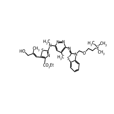 CCOC(=O)c1nc(N(C)c2cc(C)c(/N=c3\sc4ccccc4n3COCC[Si](C)(C)C)nn2)sc1/C=C(\C)CO